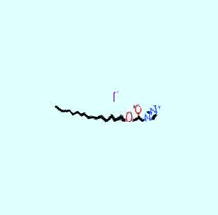 CCCCCCCCCCCCCCCCOCC(Cn1cc[n+](C)c1)OC.[I-]